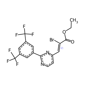 CCOC(=O)/C(Br)=C/c1ccnc(-c2cc(C(F)(F)F)cc(C(F)(F)F)c2)n1